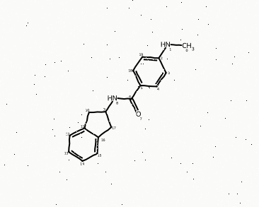 CNc1ccc(C(=O)NC2Cc3ccccc3C2)cc1